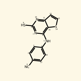 N#Cc1ccc(Nc2nc(S)nc3ccsc23)cc1